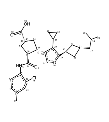 Cc1ccc(NC(=O)[C@H]2C[C@H](C(=O)O)C[C@@H]2c2noc([C@H]3C[C@@H](CC(C)C)C3)c2C2CC2)c(Cl)c1